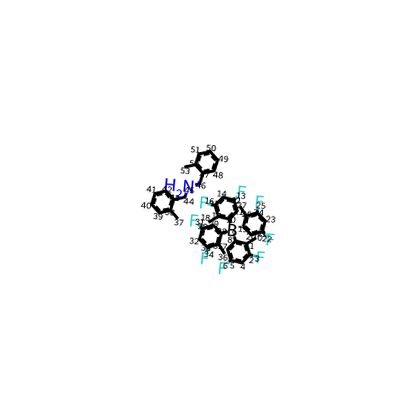 Cc1c(F)cc(F)cc1[B-](c1cc(F)cc(F)c1C)(c1cc(F)cc(F)c1C)c1cc(F)cc(F)c1C.Cc1ccccc1C[NH2+]Cc1ccccc1C